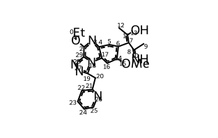 CCOc1nc2cc(/C(C(C)=N)=C(\C)O)c(OC)cc2n2c(Cc3ccccn3)nnc12